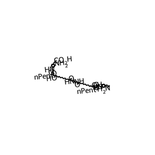 CCCCCC(OC(=O)CNc1ccc(CC(C)N)cc1)C(O)CC=CCCCCCCCC(=O)NCCNC(=O)CCCCCCCC=CCC(O)C(CCCCC)OC(=O)CNc1ccc(CC(N)C(=O)O)cc1